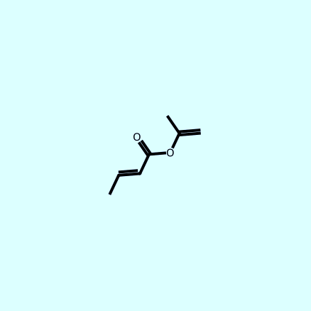 C=C(C)OC(=O)C=CC